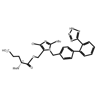 CCCCc1nc(Cl)c(COC(=O)[C@@H](CCC(=O)O)NC)n1Cc1ccc(-c2ccccc2-c2nn[nH]n2)cc1